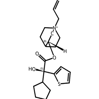 C=CC[N+]12CCC(CC1)[C@@H](OC(=O)[C@](O)(c1cccs1)C1CCCC1)C2